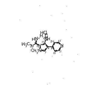 CN(C)C(=N)n1ncc(-c2ccncc2)c1N.Cl.O